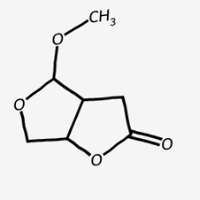 COC1OCC2OC(=O)CC21